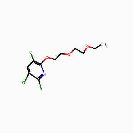 CCOCCOCCOc1nc(F)c(Cl)cc1Cl